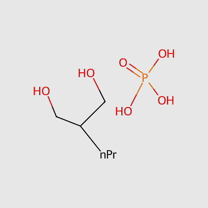 CCCC(CO)CO.O=P(O)(O)O